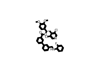 COc1ccc([C@H](Cc2c(Cl)cncc2Cl)OC(=O)c2cccc(-c3cccc(CNc4ccccc4F)c3)c2)cc1OC